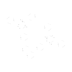 Cc1ccccc1-c1nc(-c2ccccc2)nc(-c2ccc(-c3ccc4cccc(-c5ccc(-c6nc(-c7ccccc7)nc(-c7ccccc7C)n6)cc5)c4c3)cc2)n1